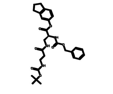 CC(C)(C)OC(=O)NCCC(=O)NC[C@H](NC(=O)OCc1ccccc1)C(=O)Oc1ccc2c(c1)CCC2